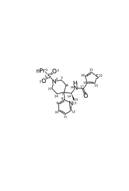 CCCS(=O)(=O)N1CCC(c2ccccn2)([C@H](C)NC(=O)c2ccsc2)CC1